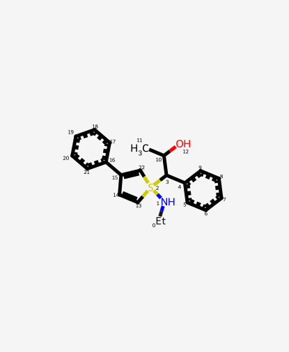 CCNS1(C(c2ccccc2)C(C)O)C=CC(c2ccccc2)=C1